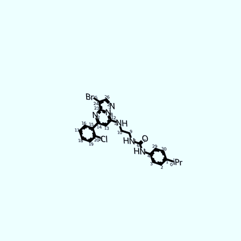 CC(C)c1ccc(NC(=O)NCCNc2cc(-c3ccccc3Cl)nc3c(Br)cnn23)cc1